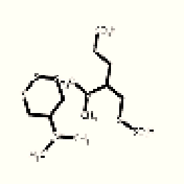 CN(C)C(CSS(=O)(=O)O)CSS(=O)(=O)O.CN(C)C1CSSSC1